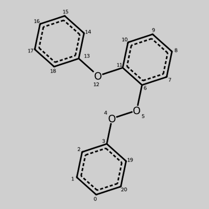 c1ccc(OOc2ccccc2Oc2ccccc2)cc1